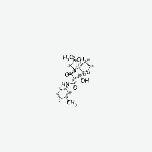 Cc1cccc(NC(=O)c2c(O)c3ccccc3n(CC(C)C)c2=O)c1